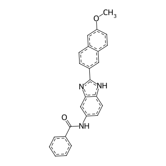 COc1ccc2cc(-c3nc4cc(NC(=O)c5ccccc5)ccc4[nH]3)ccc2c1